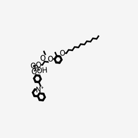 CCCCCCCCCCCCOc1cccc(OCC(COP(=O)(O)Oc2ccc(C[n+]3cccc4ccccc43)cc2)OCC)c1C